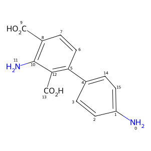 Nc1ccc(-c2ccc(C(=O)O)c(N)c2C(=O)O)cc1